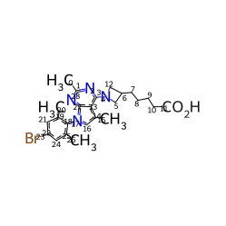 Cc1nc(N2CC(CCCCC(=O)O)C2)c2c(C)cn(-c3c(C)cc(Br)cc3C)c2n1